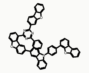 c1ccc(-c2nc(-c3ccc4c(c3)oc3ccccc34)nc(-c3cccc4oc5ccc(-c6ccc7c(c6)c6ccccc6n7-c6ccc(-c7cccc8c7oc7ccccc78)cc6)cc5c34)n2)cc1